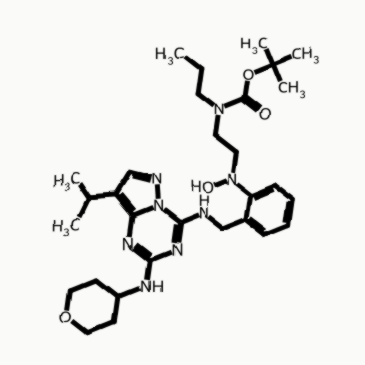 CCCN(CCN(O)c1ccccc1CNc1nc(NC2CCOCC2)nc2c(C(C)C)cnn12)C(=O)OC(C)(C)C